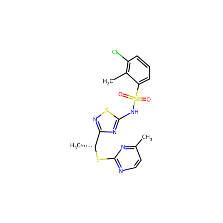 Cc1ccnc(S[C@H](C)c2nsc(NS(=O)(=O)c3cccc(Cl)c3C)n2)n1